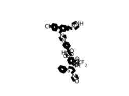 CC1(CCN2CCNCC2)CCC(c2ccc(Cl)cc2)=C(CN2CCN(c3ccc(C(=O)NS(=O)(=O)c4ccc(NC(CCN5CCOCC5)CSc5ccccc5)c(S(=O)(=O)C(F)(F)F)c4)cc3)CC2)C1